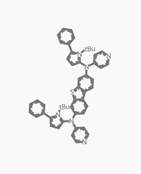 CC(C)(C)n1c(-c2ccccc2)ccc1N(c1ccncc1)c1ccc2c(c1)sc1cc(N(c3ccncc3)c3ccc(-c4ccccc4)n3C(C)(C)C)ccc12